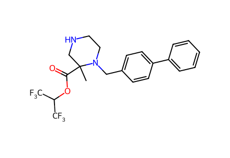 CC1(C(=O)OC(C(F)(F)F)C(F)(F)F)CNCCN1Cc1ccc(-c2ccccc2)cc1